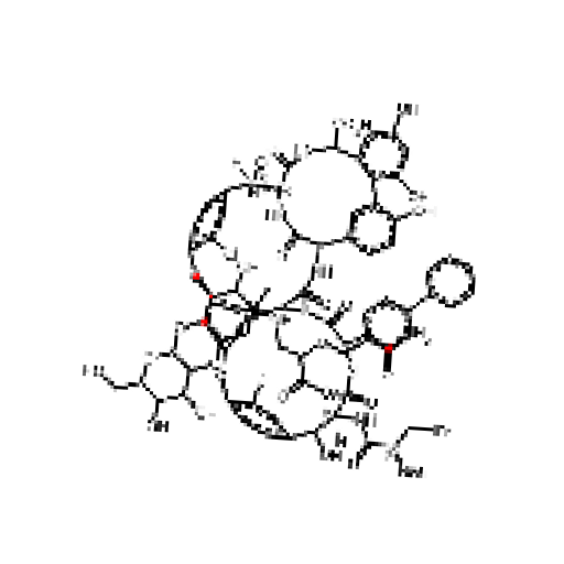 CN[C@H](CC(C)C)C(=O)N[C@@H]1C(=O)NC(CC(N)=O)C(=O)NC2C(=O)NC3C(=O)N[C@H](C(=O)NC(C(=O)O)c4cc(O)cc(O)c4-c4cc3ccc4O)[C@H](O)c3ccc(c(Cl)c3)Oc3cc2cc(c3OC2OC(CO)C(O)C(O)C2OC2CC(C)(NCC(OCc3ccc(-c4ccccc4)cc3)C(=O)OC)C(O)C(C)O2)Oc2ccc(cc2Cl)C1O